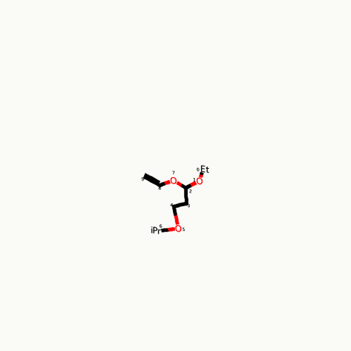 [CH2]COC(CCOC(C)C)OC=C